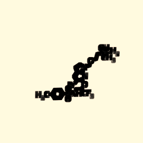 Cc1ccc(S(=O)(=O)NCC(Oc2nc3c(ccn3COCC[Si](C)(C)C)cc2Br)C(F)(F)F)cc1